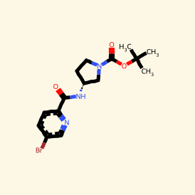 CC(C)(C)OC(=O)N1CC[C@@H](NC(=O)c2ccc(Br)cn2)C1